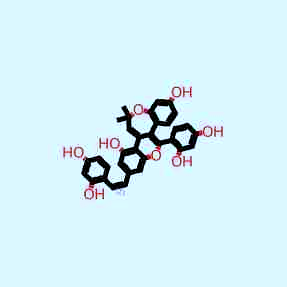 CC1(C)C=C2C(=C(c3ccc(O)cc3O)Oc3cc(/C=C\c4ccc(O)cc4O)cc(O)c32)c2ccc(O)cc2O1